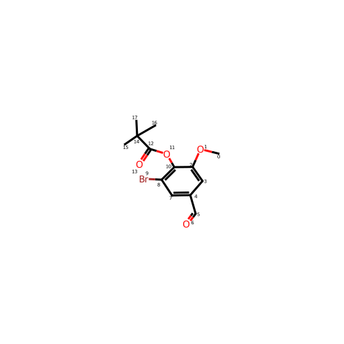 COc1cc(C=O)cc(Br)c1OC(=O)C(C)(C)C